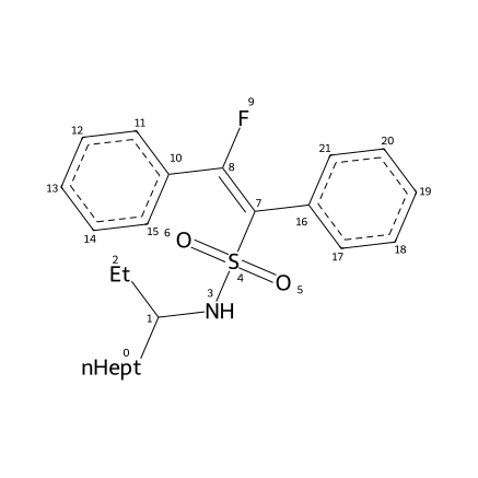 CCCCCCCC(CC)NS(=O)(=O)C(=C(F)c1ccccc1)c1ccccc1